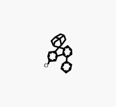 Clc1ccc2c(c1)-c1c(-c3ccccc3)cccc1C21C2CC3CC(C2)CC1C3